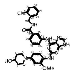 COc1cc(N2CCC(O)CC2)ccc1Nc1nc(Nc2cccc(C(=O)NCc3ccccc3Cl)c2)c2nc[nH]c2n1